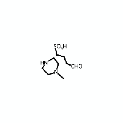 CN1CCNCC1.O=CCCCS(=O)(=O)O